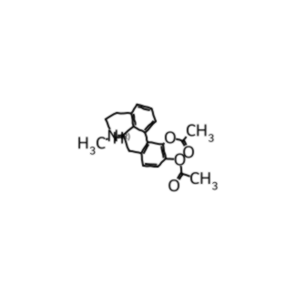 CC(=O)Oc1ccc2c(c1OC(C)=O)-c1cccc3c1[C@@H](C2)N(C)CC3